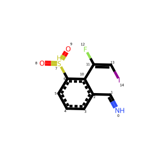 N=Cc1cccc([SH](=O)=O)c1/C(F)=C\I